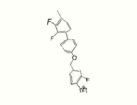 CCCc1ccc(COc2ccc(-c3ccc(C)c(F)c3F)cc2)cc1F